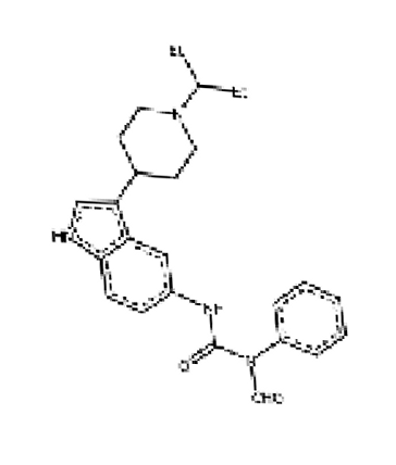 CCC(CC)N1CCC(c2c[nH]c3ccc(NC(=O)N(C=O)c4ccccc4)cc23)CC1